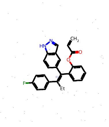 C=CC(=O)Oc1ccccc1/C(=C(\CC)c1ccc(F)cc1)c1ccc2[nH]ncc2c1